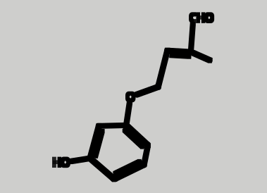 CC(C=O)=CCOc1cccc(O)c1